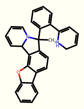 CC1(c2ccccc2C2=CC=CCN2)c2ccc3c(oc4ccccc43)c2C2C=CC=CN21